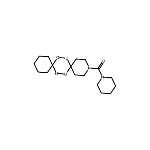 O=C(N1CCCCC1)N1CCC2(CC1)OOC1(CCCCC1)OO2